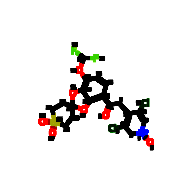 O=C(CC1=C(Cl)C[N+](=O)C=C1Cl)c1ccc(OC(F)F)c2c1OC1(CCS(=O)(=O)CC1)O2